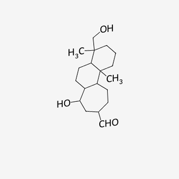 CC1(CO)CCCC2(C)C3CCC(C=O)CC(O)C3CCC12